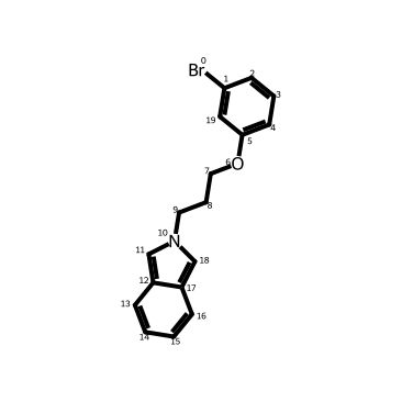 Brc1cccc(OCCCn2cc3ccccc3c2)c1